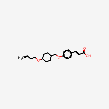 C=CCCOC1CCC(COc2ccc(C=CC(=O)O)cc2)CC1